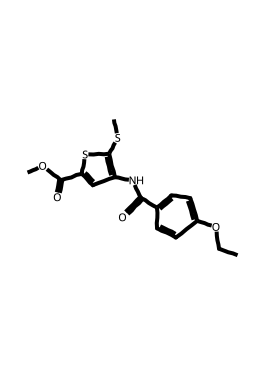 CCOc1ccc(C(=O)Nc2cc(C(=O)OC)sc2SC)cc1